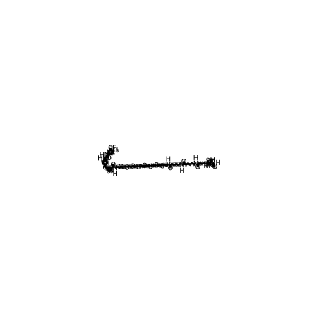 O=C(CCCCCNC(=O)CCCC[C@@H]1SC[C@@H]2NC(=O)N[C@@H]21)NCCCCCC(=O)NCCOCCOCCOCCOCCOCCOCCOCCOCCNC(=O)c1cc(Oc2ccc(NC(=O)Nc3ccc(Cl)c(C(F)(F)F)c3)cc2)ccn1